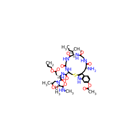 C=CCOC(=O)C[C@H](NC(=O)[C@@H]1CSc2[nH]c3cc(OC(C)=O)ccc3c2C[C@@H](N)C(=O)NCC(=O)N[C@@H]([C@@H](C)CC)C(=O)NCC(=O)N1)C(=O)N(C[C@@H](C)O)[C@@H](C)C(=O)NC